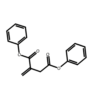 C=C(CC(=O)Oc1ccccc1)C(=O)Oc1ccccc1